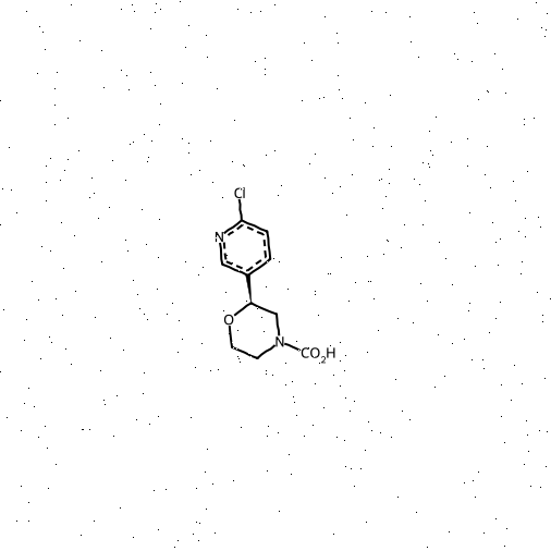 O=C(O)N1CCO[C@@H](c2ccc(Cl)nc2)C1